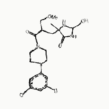 COCC(CC1(C)NC(O)NC1=O)C(=O)N1CCN(c2cc(Cl)cc(Cl)c2)CC1